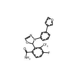 NC(=O)c1ccc(F)c(C(F)(F)F)c1C1OC=NN1c1cccc(-c2ccoc2)c1